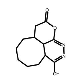 O=C1CC2CCCCCC3C(O)=NN=C(O1)C23